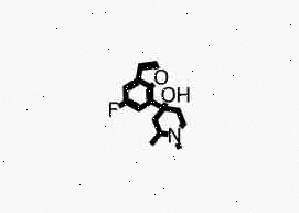 CC1CC(O)(c2cc(F)cc3ccoc23)CCN1C